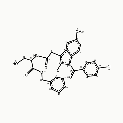 COc1ccc2c(c1)c(CC(=O)NC(CO)C(=O)OCc1ccccc1)c(C)n2C(=O)c1ccc(Cl)cc1